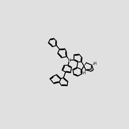 c1ccc(-c2ccc(N(c3ccc(-c4cccc5ccccc45)cc3)c3cccc4c3-c3ccccc3[C@]43C[C@H]4CC[C@@H]3C4)cc2)cc1